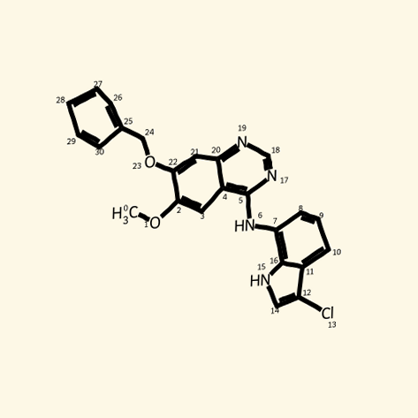 COc1cc2c(Nc3cccc4c(Cl)c[nH]c34)ncnc2cc1OCc1ccccc1